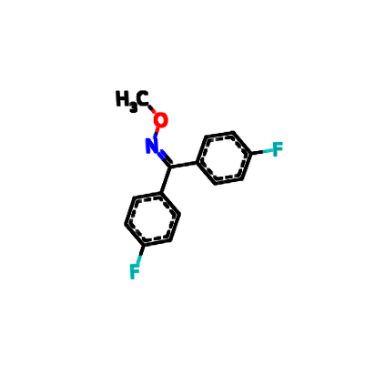 CON=C(c1ccc(F)cc1)c1ccc(F)cc1